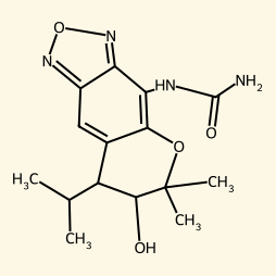 CC(C)C1c2cc3nonc3c(NC(N)=O)c2OC(C)(C)C1O